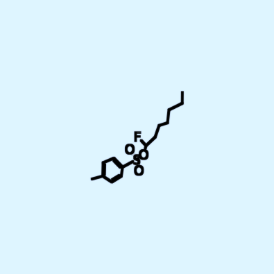 CCCCCCC(F)OS(=O)(=O)c1ccc(C)cc1